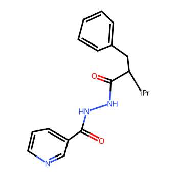 CC(C)C(Cc1ccccc1)C(=O)NNC(=O)c1cccnc1